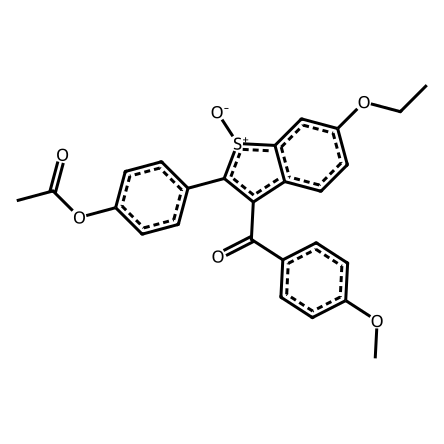 CCOc1ccc2c(C(=O)c3ccc(OC)cc3)c(-c3ccc(OC(C)=O)cc3)[s+]([O-])c2c1